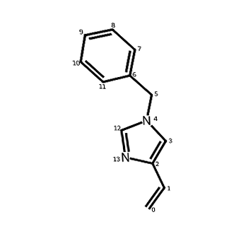 C=Cc1cn(Cc2ccccc2)cn1